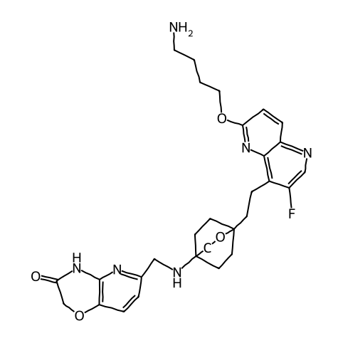 NCCCCOc1ccc2ncc(F)c(CCC34CCC(NCc5ccc6c(n5)NC(=O)CO6)(CC3)CO4)c2n1